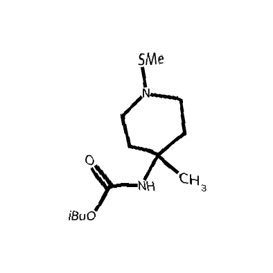 CSN1CCC(C)(NC(=O)OCC(C)C)CC1